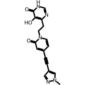 Cn1cc(C#Cc2ccn(CCc3nc[nH]c(=O)c3O)c(=O)c2)cn1